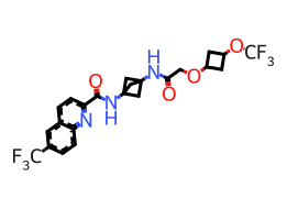 O=C(COC1CC(OC(F)(F)F)C1)NC12CC(NC(=O)c3ccc4cc(C(F)(F)F)ccc4n3)(C1)C2